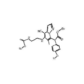 CCOc1ccc(N(C(=O)OC(C)(C)C)c2c(C)c(NCCNC(=O)OC(C)(C)C)c(C#N)c3ccnn23)cc1